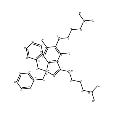 Cc1cc2c(c(C)c1OCCCN(C)C)C(OCCCN(C)C)=N[N+]2(Cc1ccccc1)Cc1ccccc1